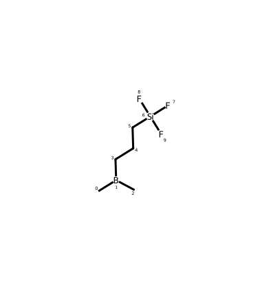 CB(C)CCC[Si](F)(F)F